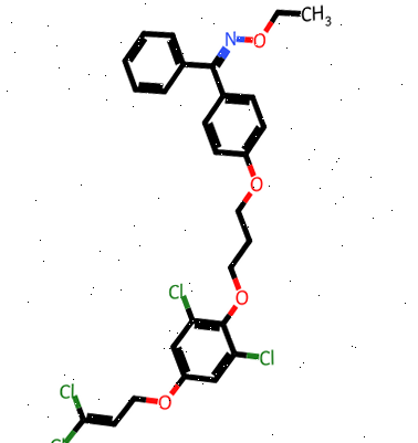 CCON=C(c1ccccc1)c1ccc(OCCCOc2c(Cl)cc(OCC=C(Cl)Cl)cc2Cl)cc1